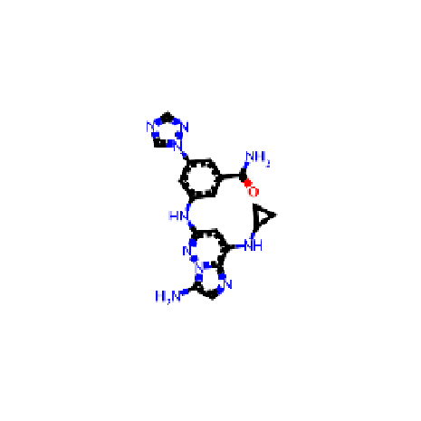 NC(=O)c1cc(Nc2cc(NC3CC3)c3ncc(N)n3n2)cc(-n2cncn2)c1